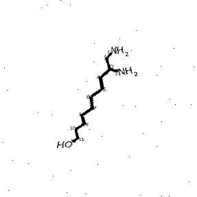 NCC(N)CCCCCCCCO